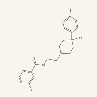 Cc1cccc(C(=O)NCCN2CCC(O)(c3ccc(Cl)cc3)CC2)c1